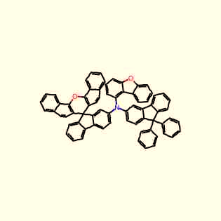 c1ccc(C2(c3ccccc3)c3ccccc3-c3cc(N(c4ccc5c(c4)C4(c6ccccc6-5)c5ccc6ccccc6c5Oc5c4ccc4ccccc54)c4cccc5oc6ccccc6c45)ccc32)cc1